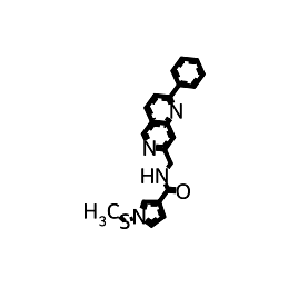 CSn1ccc(C(=O)NCc2cc3nc(-c4ccccc4)ccc3cn2)c1